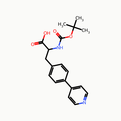 CC(C)(C)OC(=O)NC(Cc1ccc(-c2ccncc2)cc1)C(=O)O